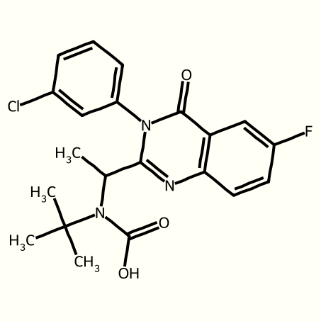 CC(c1nc2ccc(F)cc2c(=O)n1-c1cccc(Cl)c1)N(C(=O)O)C(C)(C)C